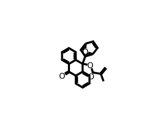 C=C(C)C(=O)OC1(c2cc3ccc2o3)c2ccccc2C(=O)c2ccccc21